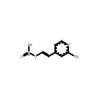 Cc1cc(/C=C/O[PH](=O)O)ccn1